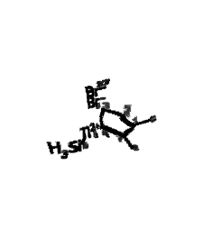 CC1=CC[C]([Ti+2][SiH3])=C1C.[Br-].[Br-]